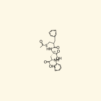 CC(=O)SCC(Cc1ccccc1)C(=O)N[C@@H](CC(Nc1ccccc1)C(=O)O)C(=O)O